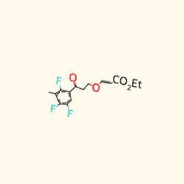 CCOC(=O)C=COCCC(=O)c1cc(F)c(F)c(C)c1F